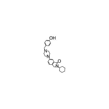 O=C1c2cc(N3CCN(Cc4ccc(O)cc4)CC3)ccc2CN1C1CCCCC1